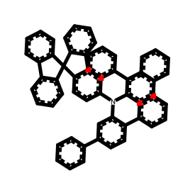 c1ccc(-c2ccc(-c3ccccc3)c(N(c3ccc4c(c3)-c3ccccc3C43c4ccccc4-c4ccccc43)c3ccc4ccccc4c3-c3ccccc3)c2)cc1